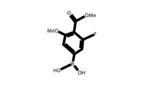 COC(=O)c1c(F)cc(B(O)O)cc1OC